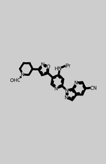 CC(C)Nc1cc(-n2ncc3cc(C#N)cnc32)ncc1-c1cc(C2CCCN(C=O)C2)no1